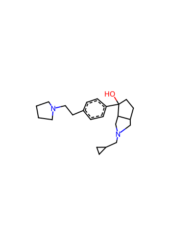 OC1(c2ccc(CCN3CCCC3)cc2)CCC2CN(CC3CC3)CC21